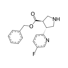 O=C(OCc1ccccc1)[C@H]1CNC[C@@H]1c1ccc(F)cn1